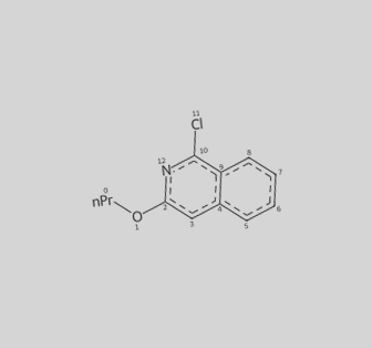 CCCOc1cc2ccccc2c(Cl)n1